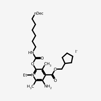 CCCCCCCCCCCCCCCCNC(=O)Oc1c(C)c(C(=O)OCC2CCCC2)c(N)c(C)[n+]1CC.[I-]